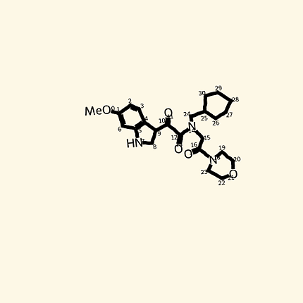 COc1ccc2c(c1)NCC2C(=O)C(=O)N(CC(=O)N1CCOCC1)CC1CCCCC1